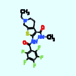 CCN1CCc2c(sc(NC(=O)c3c(F)c(F)c(F)c(F)c3F)c2C(=O)NC)C1